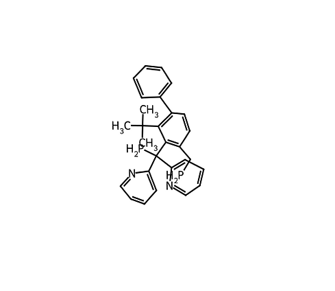 CC(C)(C)c1c(-c2ccccc2)ccc(CP)c1C(P)(c1ccccn1)c1ccccn1